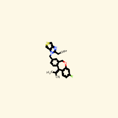 COCc1nc2cscc2n1Cc1ccc2c(c1)COc1cc(F)ccc1/C2=C(/C)C#N